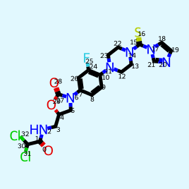 O=C(NCC1CN(c2ccc(N3CCN(C(=S)n4ccnc4)CC3)c(F)c2)C(=O)O1)C(Cl)Cl